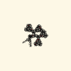 C=CCCCCOCC(COCCCCC=C)n1cc(COC(COC(COC(COCC2COC(C)(C)O2)COCC2COC(C)(C)O2)COC(COCC2COC(C)(C)O2)COCC2COC(C)(C)O2)COC(COC(COCC2COC(C)(C)O2)COCC2COC(C)(C)O2)COC(COCC2COC(C)(C)O2)COCC2COC(C)(C)O2)nn1